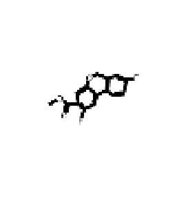 COC(=O)c1cc2c(cc1F)-c1ccc(F)cc1CO2